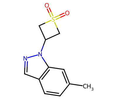 Cc1ccc2cnn(C3CS(=O)(=O)C3)c2c1